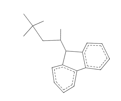 CC(CC(C)(C)C)C1c2ccccc2-c2ccccc21